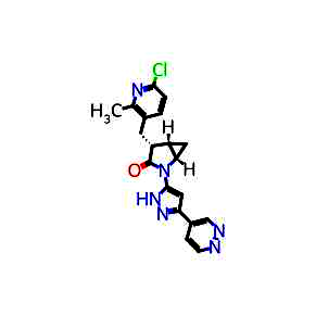 Cc1nc(Cl)ccc1C[C@H]1C(=O)N(c2cc(-c3ccnnc3)n[nH]2)[C@H]2C[C@@H]12